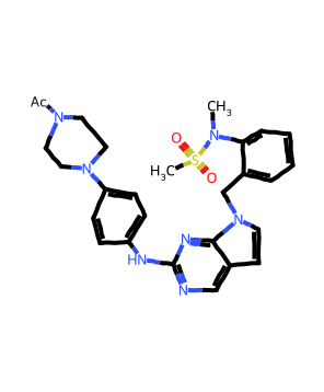 CC(=O)N1CCN(c2ccc(Nc3ncc4ccn(Cc5ccccc5N(C)S(C)(=O)=O)c4n3)cc2)CC1